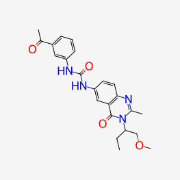 CCC(COC)n1c(C)nc2ccc(NC(=O)Nc3cccc(C(C)=O)c3)cc2c1=O